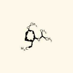 C=Cc1ccc(OC)cc1OC(C)C